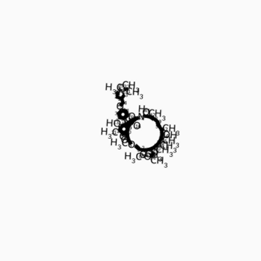 CO[C@H]1/C=C/O[C@@]2(C)Oc3c(C)c(O)c4c(=O)c(c5oc6cc(OCC7CC[N+](C)(C(C)C)C7)ccc6nc-5c4c3C2=O)NC(=O)/C(C)=C\C=C\[C@H](C)[C@H](O)[C@@H](C)[C@@H](C)[C@@H](C)[C@H](OC(C)=O)[C@@H]1C